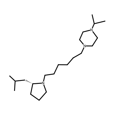 CC(C)C[C@H]1CCCN1CCCCCCN1CCN(C(C)C)CC1